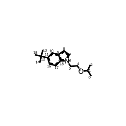 CC(C)OCCn1ccc2cc(C(C)(C)C)ccc21